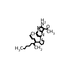 C=C(CCCCC)/C(=C\C=C/C)C1CCCN1c1ccn2nc(N)c(C(C)=O)c2n1